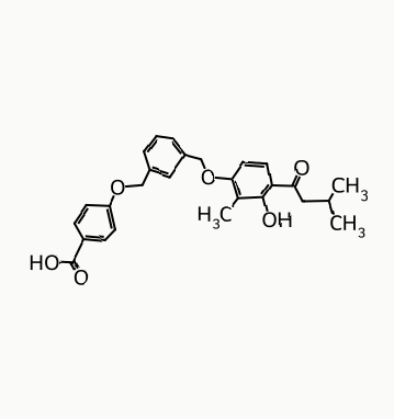 Cc1c(OCc2cccc(COc3ccc(C(=O)O)cc3)c2)ccc(C(=O)CC(C)C)c1O